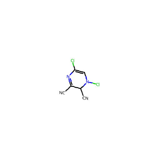 N#CC1=NC(Cl)=CN(Cl)C1C#N